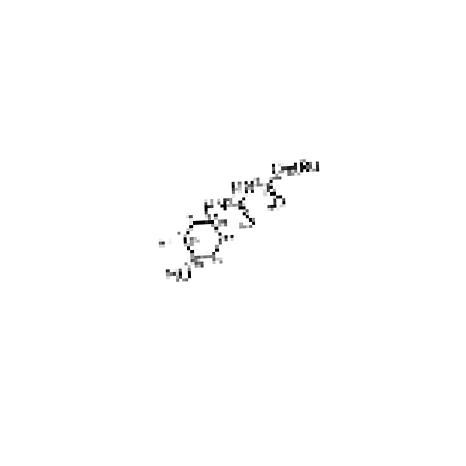 C[C@@H]1C[C@H](NC(=S)NC(=O)OC(C)(C)C)CC[C@@H]1O